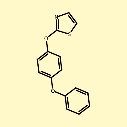 c1ccc(Oc2ccc(Oc3nccs3)cc2)cc1